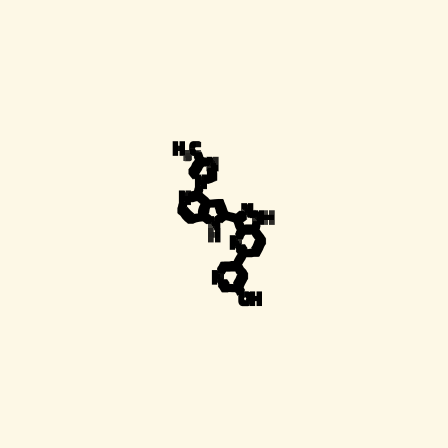 Cc1cn(-c2nccc3[nH]c(-c4n[nH]c5ccc(-c6cncc(O)c6)nc45)cc23)cn1